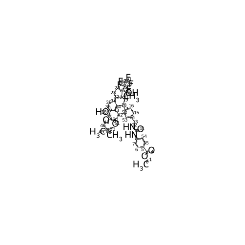 CCOC(=O)c1ccc(NC(=O)NCc2ccc([C@H]3C[C@@]4(C)C(CC[C@@]4(O)C(F)(F)C(F)(F)F)C4CCC5(O)CC6(CCC5=C43)OCC(C)(C)CO6)cc2)cc1